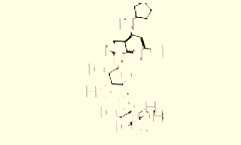 CC(CO)(OC[C@@H]1O[C@H](n2ncc3c(NC4CCCC4)cc(Cl)nc32)[C@@H](O)[C@H]1O)P(=O)(O)O